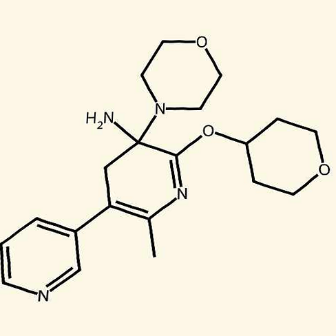 CC1=C(c2cccnc2)CC(N)(N2CCOCC2)C(OC2CCOCC2)=N1